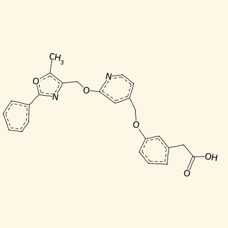 Cc1oc(-c2ccccc2)nc1COc1cc(COc2cccc(CC(=O)O)c2)ccn1